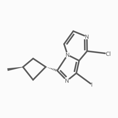 C[C@H]1C[C@H](c2nc(I)c3c(Cl)nccn32)C1